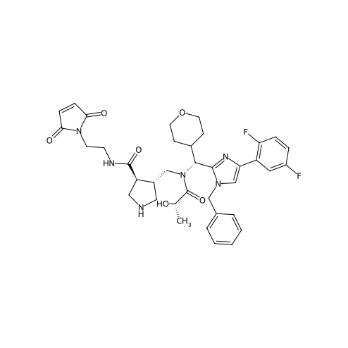 C[C@H](O)C(=O)N(C[C@@H]1CNC[C@H]1C(=O)NCCN1C(=O)C=CC1=O)[C@@H](c1nc(-c2cc(F)ccc2F)cn1Cc1ccccc1)C1CCOCC1